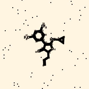 C=CCC1OC(NC2CC2)=C(c2cc(C(F)(F)F)cc(C(F)(F)F)c2)C1=O